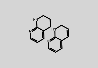 C1=Cc2cccnc2NC1.c1cnc2c(c1)CCCN2